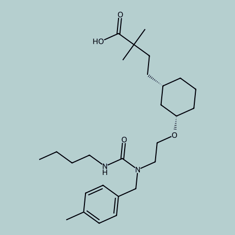 CCCCNC(=O)N(CCO[C@H]1CCC[C@@H](CCC(C)(C)C(=O)O)C1)Cc1ccc(C)cc1